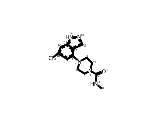 CNC(=O)N1CCN(c2cc(Cl)cc3[nH]ncc23)CC1